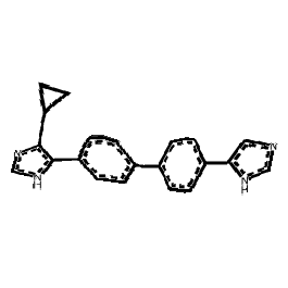 c1ncc(-c2ccc(-c3ccc(-c4[nH]cnc4C4CC4)cc3)cc2)[nH]1